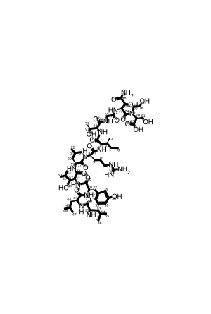 CC[C@H](C)[C@H](NC(=O)[C@@H](CCCNC(=N)N)NC(=O)[C@H](CC(C)C)NC(=O)[C@@H](NC(=O)[C@H](Cc1cccc(O)c1)NC(=O)[C@H](CC(C)C)NC(=O)[C@H](N)CC(C)C)C(O)C(C)C)C(=O)N[C@H](C(=O)NCC(=O)N[C@H](C(=O)N(CCO)[C@@H](CO)C(=O)O)C(O)C(N)=O)[C@H](C)O